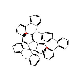 c1ccc(-c2ccccc2-c2ccc(N(c3ccccc3-c3ccccc3)c3cccc4c3-c3ccccc3C43c4ccccc4Oc4ccccc43)cc2)cc1